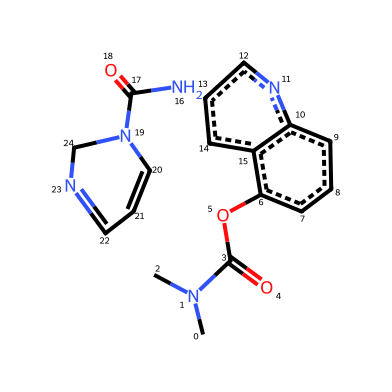 CN(C)C(=O)Oc1cccc2ncccc12.NC(=O)N1C=CC=NC1